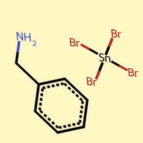 NCc1ccccc1.[Br][Sn]([Br])([Br])[Br]